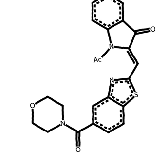 CC(=O)N1/C(=C\c2nc3cc(C(=O)N4CCOCC4)ccc3s2)C(=O)c2ccccc21